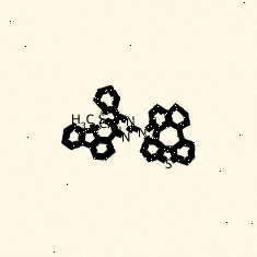 CC1(C)c2ccccc2-c2cccc(-c3nc(-n4c5ccc6c7c5c5c8c(ccc54)sc4cccc(c48)C7=CCC6)nc4c3sc3ccccc34)c21